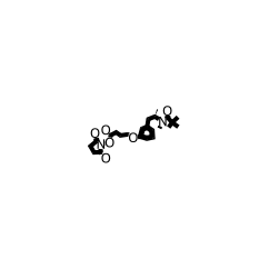 C[C@@H](Cc1cccc(OCCCC(=O)ON2C(=O)CCC2=O)c1)N(C)C(=O)C(C)(C)C